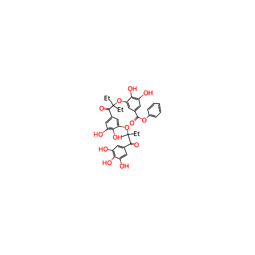 CCC(C)(Oc1cc(C(=O)C(CC)(CC)Oc2cc(C(=O)Oc3ccccc3)cc(O)c2O)cc(O)c1O)C(=O)c1cc(O)c(O)c(O)c1